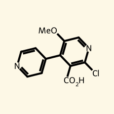 COc1cnc(Cl)c(C(=O)O)c1-c1ccncc1